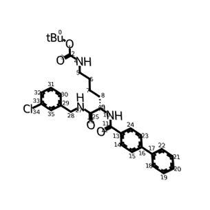 CC(C)(C)OC(=O)NCCCC[C@H](NC(=O)c1ccc(-c2ccccc2)cc1)C(=O)NCc1cccc(Cl)c1